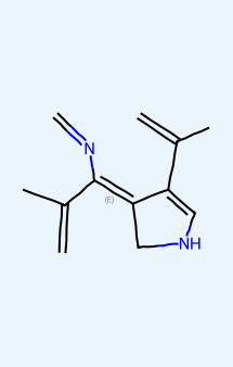 C=N/C(C(=C)C)=C1/CNC=C1C(=C)C